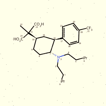 CC(C)CCN(CCC(C)C)[C@@H]1CC[C@@H](C(C)(C(=O)O)C(=O)O)C[C@H]1c1ccc(C(F)(F)F)cc1